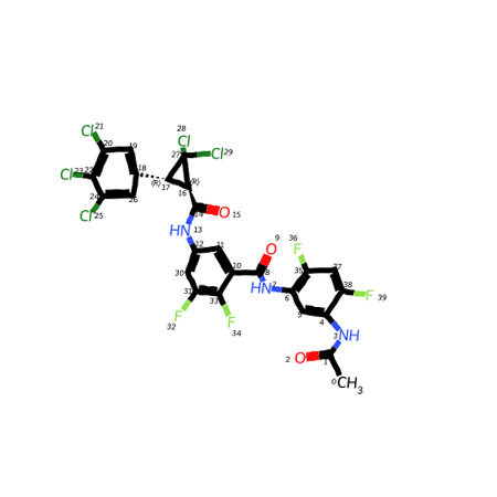 CC(=O)Nc1cc(NC(=O)c2cc(NC(=O)[C@H]3[C@H](c4cc(Cl)c(Cl)c(Cl)c4)C3(Cl)Cl)cc(F)c2F)c(F)cc1F